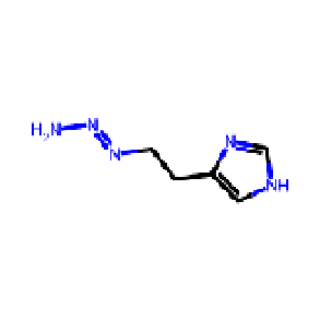 NN=NCCc1c[nH]cn1